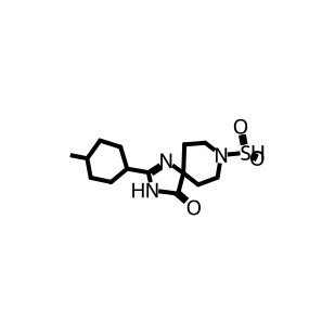 CC1CCC(C2=NC3(CCN([SH](=O)=O)CC3)C(=O)N2)CC1